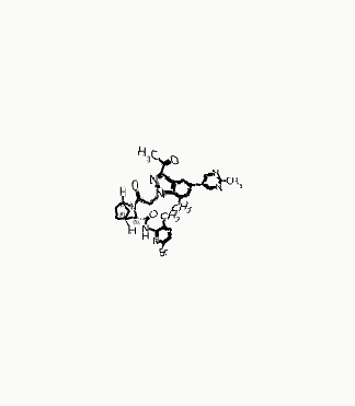 CC(=O)c1nn(CC(=O)N2[C@H]3CC[C@H](C3)[C@H]2C(=O)Nc2nc(Br)ccc2C)c2c(C)cc(-c3cnc(C)nc3)cc12